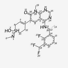 CN=[SH]1(O)CC=C(c2cc3c(N[C@H](C)c4cccc(C(F)F)c4F)ncnc3n(C)c2=O)CC1